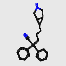 N#CC(CCCC1C2CNCC12)(c1ccccc1)c1ccccc1